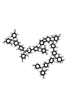 Cc1ccc(N(c2ccc(-c3ccc(N(c4ccc(-c5ccc(N(c6ccc7sc8ccc(N(c9ccc(-c%10ccc(N(c%11ccc(-c%12ccc(N(c%13ccc(C)cc%13)c%13ccc(C)cc%13C)cc%12)cc%11)c%11ccc(C)cc%11C)cc%10)cc9)c9ccc(C)cc9C)cc8c7c6)c6ccc(C)cc6C)cc5)cc4)c4ccc(C)cc4C)cc3)cc2)c2ccc(C)cc2C)cc1